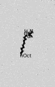 CCCCCCCCC=CCCCCCCCC(=O)OC(C)(C)CN